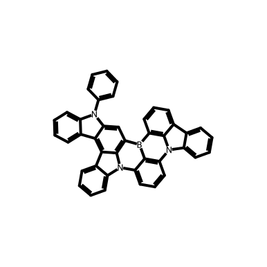 c1ccc(-n2c3ccccc3c3c4c5ccccc5n5c4c(cc32)B2c3c(cccc3-5)-n3c4ccccc4c4cccc2c43)cc1